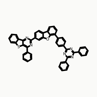 c1ccc(-c2nc(-c3ccccc3)nc(-c3ccc(-c4cccc5c4oc4cc(-c6nc(-c7ccccc7)c7sc8ccccc8c7n6)ccc45)cc3)n2)cc1